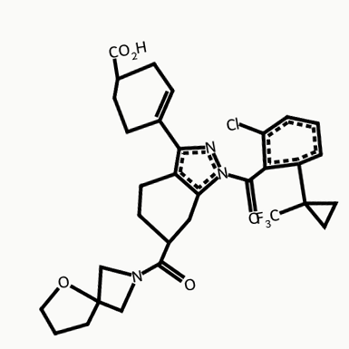 O=C(O)C1CC=C(c2nn(C(=O)c3c(Cl)cccc3C3(C(F)(F)F)CC3)c3c2CCC(C(=O)N2CC4(CCCO4)C2)C3)CC1